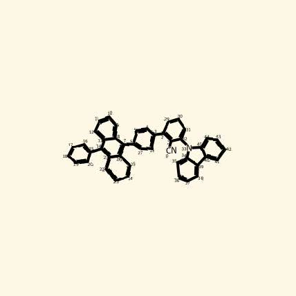 N#Cc1c(-c2ccc(-c3c4ccccc4c(-c4ccccc4)c4ccccc34)cc2)cccc1-n1c2ccccc2c2ccccc21